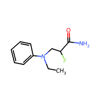 CCN(CC(F)C(N)=O)c1ccccc1